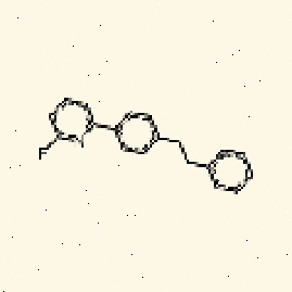 Fc1cccc(-c2ccc(CCc3ccccc3)cc2)n1